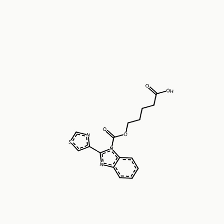 O=C(O)CCCCOC(=O)n1c(-c2cscn2)nc2ccccc21